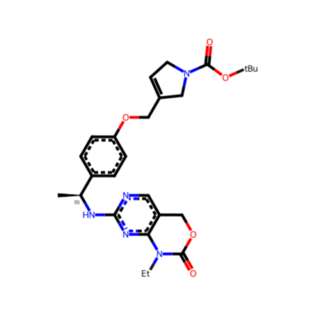 CCN1C(=O)OCc2cnc(N[C@@H](C)c3ccc(OCC4=CCN(C(=O)OC(C)(C)C)C4)cc3)nc21